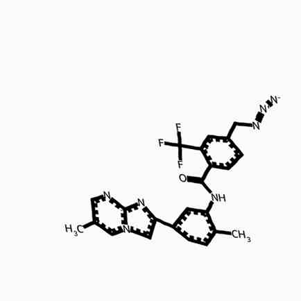 Cc1cnc2nc(-c3ccc(C)c(NC(=O)c4ccc(CN=[N+]=[N-])cc4C(F)(F)F)c3)cn2c1